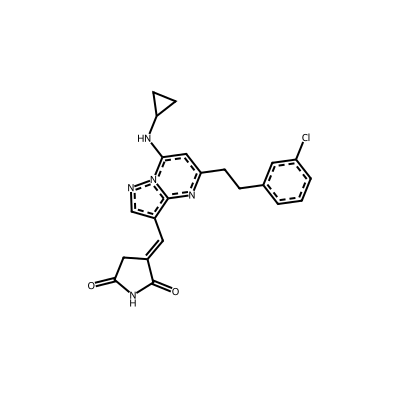 O=C1C/C(=C\c2cnn3c(NC4CC4)cc(CCc4cccc(Cl)c4)nc23)C(=O)N1